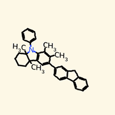 Cc1c(-c2ccc3c(c2)Cc2ccccc2-3)cc2c(c1C)N(c1ccccc1)C1(C)CCCCC21C